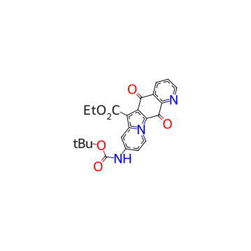 CCOC(=O)c1c2c(n3ccc(NC(=O)OC(C)(C)C)cc13)C(=O)c1ncccc1C2=O